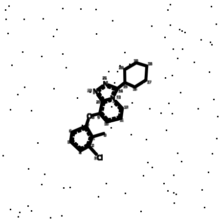 Cc1c(Cl)cccc1Oc1cccn2c(C3CCCCC3)nnc12